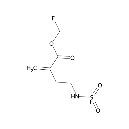 C=C(CCN[SH](=O)=O)C(=O)OCF